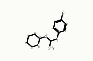 CC(Oc1ccc(Br)cc1)OC1CCCCO1